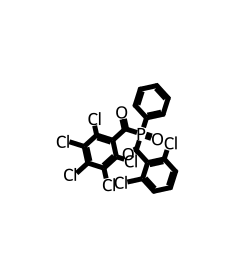 O=C(c1c(Cl)cccc1Cl)P(=O)(C(=O)c1c(Cl)c(Cl)c(Cl)c(Cl)c1Cl)c1ccccc1